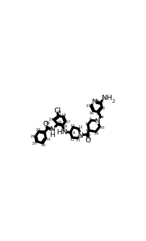 Nc1cc(CN2CCC(C(=O)N3CCC(Nc4ccc(Cl)cc4NC(=O)c4ccccc4)CC3)CC2)ccn1